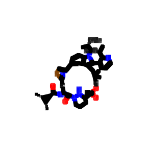 CO[C@@H](C)c1ncccc1-c1c2c3cc(ccc3n1C[C@H](C)OC)-c1csc(n1)C[C@H](NC(=O)[C@H]1[C@H](C)[C@@H]1C)C(=O)N1CCC[C@H](N1)C(=O)OCC(C)(C)C2